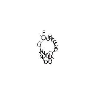 COC(=O)[C@@H](OC(C)(C)C)c1c(C)nc2cc3nn2c1N1CCC(C)(CC1)OCCCC[C@H](C)Oc1cc(F)c(C)cc1-c1cccc-3c1